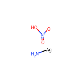 O=[N+]([O-])O.[NH2][Ag]